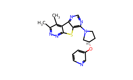 Cc1nnc2sc3c(N4CC[C@H](Oc5cccnc5)C4)ncnc3c2c1C